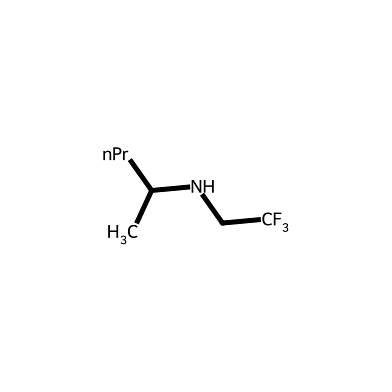 CCCC(C)NCC(F)(F)F